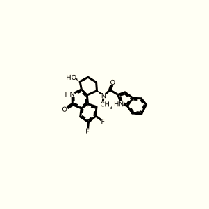 CN(C(=O)c1cc2ccccc2[nH]1)[C@@H]1CC[C@@H](O)c2[nH]c(=O)c3cc(F)c(F)cc3c21